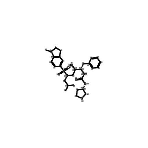 CB1CCc2cc(S(=O)(=O)N(CC(C)C)C[C@@H](O)[C@H](Cc3ccccc3)NC(=O)O[C@H]3CCOC3)ccc21